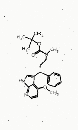 COc1ccnc2[nH]cc([C@H](CCN(C)C(=O)OC(C)(C)C)c3ccccc3)c12